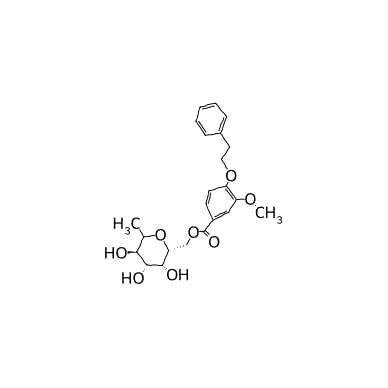 COc1cc(C(=O)OC[C@H]2OC(C)[C@H](O)[C@@H](O)[C@H]2O)ccc1OCCc1ccccc1